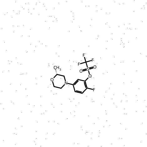 C[C@@H]1CN(c2ccc(F)c(OS(=O)(=O)C(F)(F)F)c2)CCO1